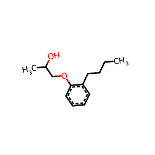 CCCCc1ccccc1OCC(C)O